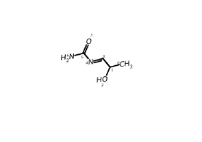 CC(O)C=NC(N)=O